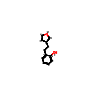 Oc1ccccc1CCC1CCOC1